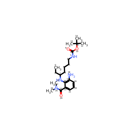 CCC(CCCCNC(=O)OC(C)(C)C)Nc1c(N)cccc1C(=O)N(C)C